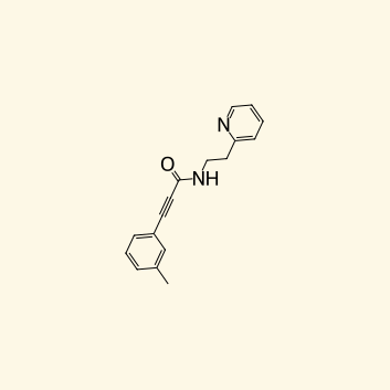 Cc1cccc(C#CC(=O)NCCc2ccccn2)c1